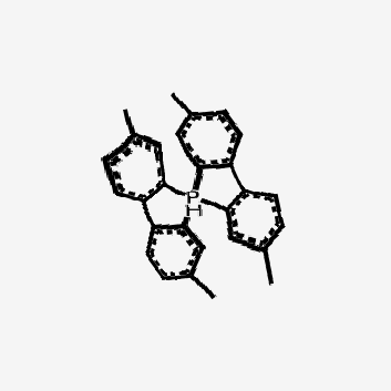 Cc1ccc2c(c1)[PH]1(c3cc(C)ccc3-2)c2cc(C)ccc2-c2ccc(C)cc21